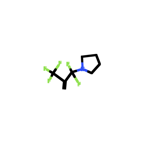 C=C(C(F)(F)F)C(F)(F)N1CCCC1